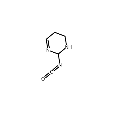 O=C=NC1N=CCCN1